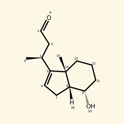 C[C@@H](CC=O)C1=CC[C@H]2[C@@H](O)CCC[C@@]12C